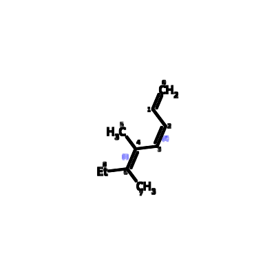 C=C/C=C\C(C)=C(/C)CC